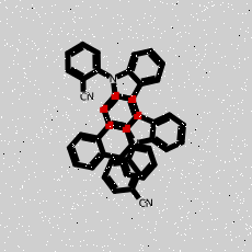 N#Cc1cccc(-n2c3ccccc3c3cccc(-c4ccccc4-c4ccccc4-c4ccc5c(c4)c4ccccc4n5-c4ccccc4C#N)c32)c1